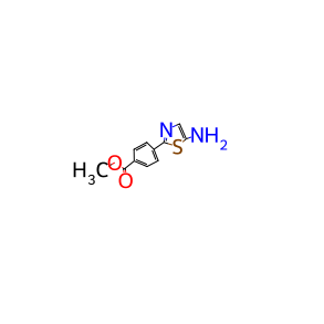 COC(=O)c1ccc(-c2ncc(N)s2)cc1